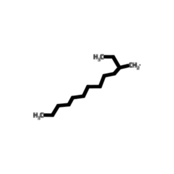 [CH2]C(CC)CCCCCCCCCC